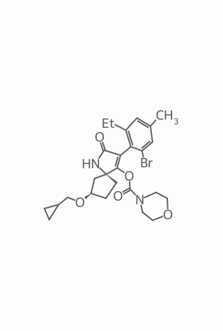 CCc1cc(C)cc(Br)c1C1=C(OC(=O)N2CCOCC2)[C@@]2(CC[C@@H](OCC3CC3)C2)NC1=O